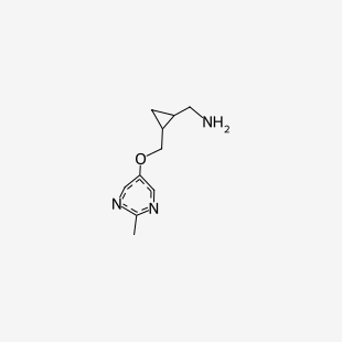 Cc1ncc(OCC2CC2CN)cn1